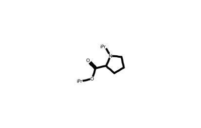 CC(C)OC(=O)C1CCCN1C(C)C